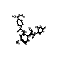 CN(C)C1CCN(C(=O)Nc2ccccc2C(=O)Nc2ccc(Cl)cn2)CC1.Cl